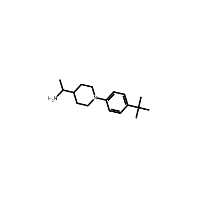 CC(N)C1CCN(c2ccc(C(C)(C)C)cc2)CC1